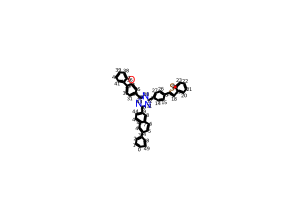 c1ccc(-c2ccc3cc(-c4nc(-c5ccc(-c6cc7ccccc7s6)cc5)nc(-c5ccc6c(c5)oc5ccccc56)n4)ccc3c2)cc1